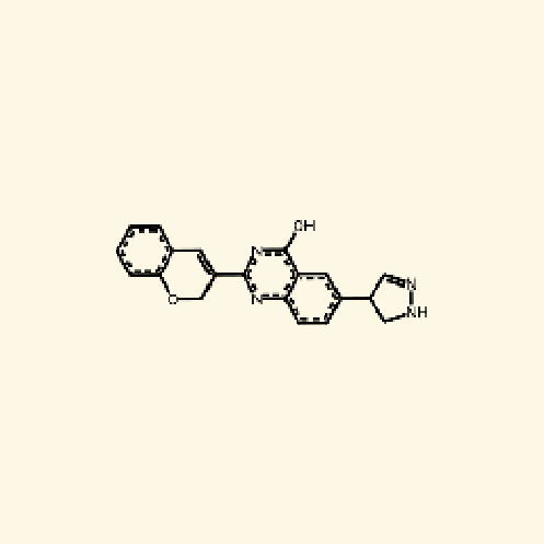 Oc1nc(C2=Cc3ccccc3OC2)nc2ccc(C3C=NNC3)cc12